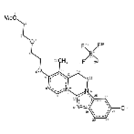 COCCOCCOc1cc[n+]2c(c1C)CSn1c-2nc2ccc(Cl)cc21.F[B-](F)(F)F